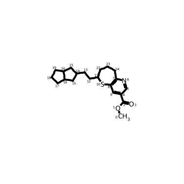 COC(=O)c1cnc2c(c1)SC(CCC1CC3CCCC3C1)CCC2